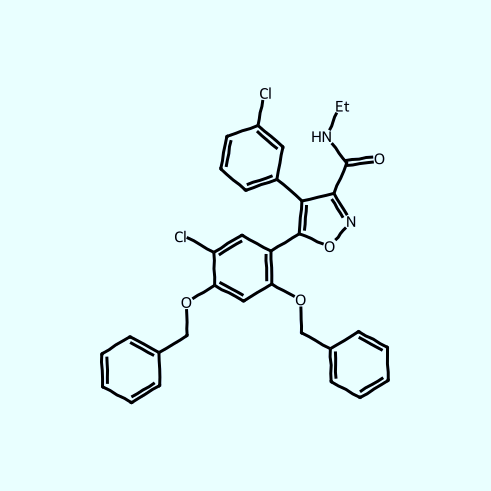 CCNC(=O)c1noc(-c2cc(Cl)c(OCc3ccccc3)cc2OCc2ccccc2)c1-c1cccc(Cl)c1